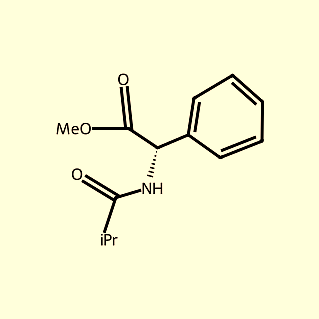 COC(=O)[C@@H](NC(=O)C(C)C)c1ccccc1